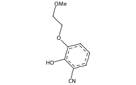 COCCOc1cccc(C#N)c1O